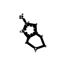 CCn1cc2c(n1)COCC2